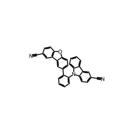 N#Cc1ccc2oc3ccc(-c4ccccc4-n4c5ccccc5c5cc(C#N)ccc54)cc3c2c1